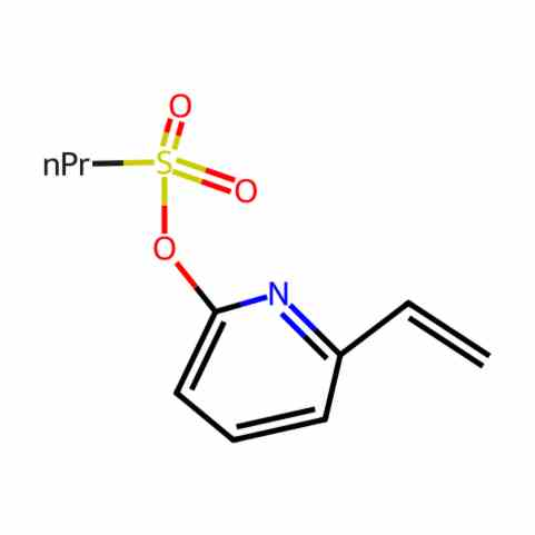 C=Cc1cccc(OS(=O)(=O)CCC)n1